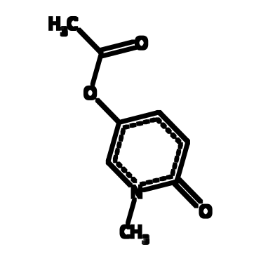 CC(=O)Oc1ccc(=O)n(C)c1